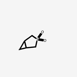 O=S1(=O)CC2[CH]C2C1